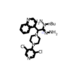 CCCCN(N)/C(=N\N)C(c1ccnc2ccccc12)N1CCN(c2c(Cl)cncc2Cl)CC1